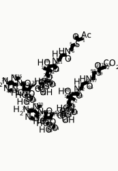 CC(=O)CC(=O)SCCNC(=O)CCNC(=O)C(O)C(C)(C)COP(=O)(O)OP(=O)(O)OC[C@H]1O[C@@H](n2cnc3c(N)ncnc32)[C@H](O)[C@@H]1OP(=O)(O)O.CC(C)(COP(=O)(O)OP(=O)(O)OC[C@H]1O[C@@H](n2cnc3c(N)ncnc32)[C@H](O)[C@@H]1OP(=O)(O)O)C(O)C(=O)NCCC(=O)NCCSC(=O)CC(=O)O